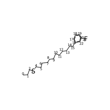 CCCSCCCCCCCCCCCCc1cccc(F)c1